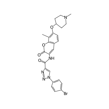 Cc1c(OC2CCN(C)CC2)ccc2cc(NC(=O)c3cn(-c4ccc(Br)cc4)nn3)c(=O)oc12